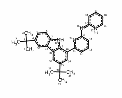 CC(C)(C)c1ccc2[nH]c3c(-c4cccc(/N=c5/cccc[nH]5)n4)cc(C(C)(C)C)cc3c2c1